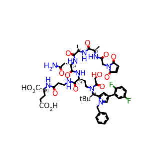 C[C@@H](NC(=O)CN1C(=O)C=CC1=O)C(=O)N[C@H](C)C(=O)N[C@@H](CC(N)=O)C(=O)N[C@@H](CCN(C(=O)CO)[C@@H](c1cc(-c2cc(F)ccc2F)cn1Cc1ccccc1)C(C)(C)C)C(=O)NCCC(=O)N[C@H](CCC(=O)O)C(=O)O